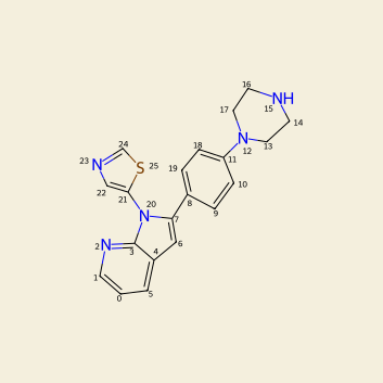 c1cnc2c(c1)cc(-c1ccc(N3CCNCC3)cc1)n2-c1cncs1